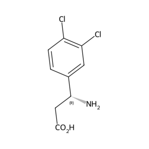 N[C@H](CC(=O)O)c1ccc(Cl)c(Cl)c1